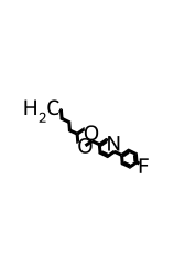 C=CCCCC1COC(c2ccc(-c3ccc(F)cc3)nc2)OC1